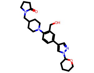 O=C1CCCN1CC1CCN(c2ccc(-c3cnn(C4CCCCO4)c3)cc2CO)CC1